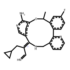 CC1Oc2cc(cnc2N)/C(=C(/C=N)CC2CC2)NCc2cccnc2-c2ccc(F)cc21